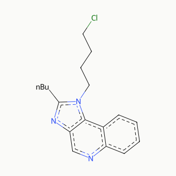 CCCCc1nc2cnc3ccccc3c2n1CCCCCl